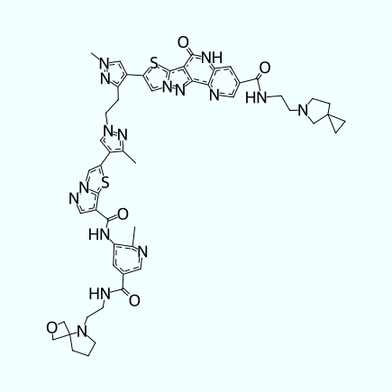 Cc1ncc(C(=O)NCCN2CCCC23COC3)cc1NC(=O)c1cnn2cc(-c3cn(CCc4nn(C)cc4-c4cn5nc6c7ncc(C(=O)NCCN8CCC9(CC9)C8)cc7[nH]c(=O)c6c5s4)nc3C)sc12